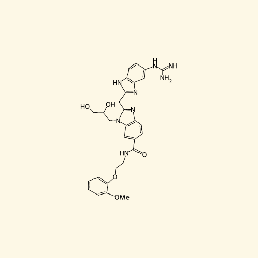 COc1ccccc1OCCNC(=O)c1ccc2nc(Cc3nc4cc(NC(=N)N)ccc4[nH]3)n(CC(O)CO)c2c1